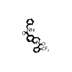 O=C(NCc1ccccc1)c1ccc2c(c1)CCN(C(=O)c1ccccc1C(F)(F)F)C2